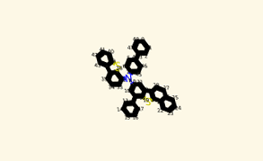 c1ccc(-c2ccc(N(c3cc(-c4ccccc4)c4sc5c6ccccc6ccc5c4c3)c3cccc4c3sc3ccccc34)cc2)cc1